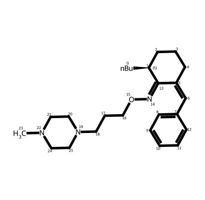 CCCC[C@H]1CCCC(=Cc2ccccc2)C1=NOCCCN1CCN(C)CC1